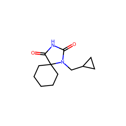 O=C1NC(=O)C2(CCCCC2)N1CC1CC1